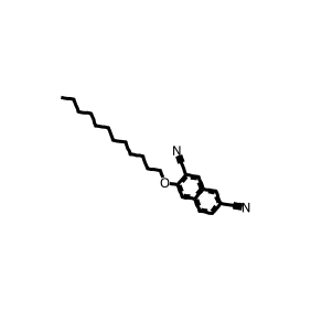 CCCCCCCCCCCCOc1cc2ccc(C#N)cc2cc1C#N